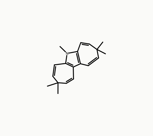 Cn1c2c(c3c1C=CC(C)(C)C=C3)C=CC(C)(C)C=C2